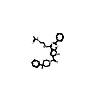 CC(=O)NCCNc1nc(-c2ccccc2)nc2[nH]c(C(=O)N3CCC(C)(c4ccccc4)CC3)cc12